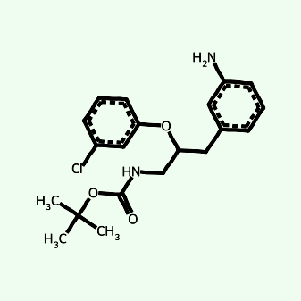 CC(C)(C)OC(=O)NCC(Cc1cccc(N)c1)Oc1cccc(Cl)c1